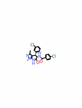 Cc1nn(C)c2c1[C@@H](c1cccc(Cl)c1)[C@H](NC(=O)c1ccc(Cl)cc1)C(=O)N2